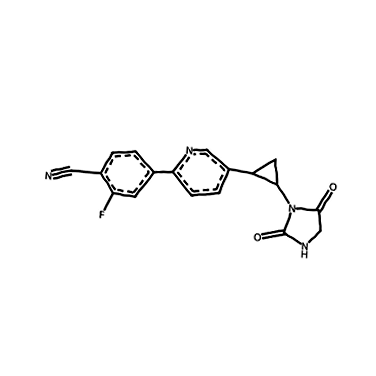 N#Cc1ccc(-c2ccc(C3CC3N3C(=O)CNC3=O)cn2)cc1F